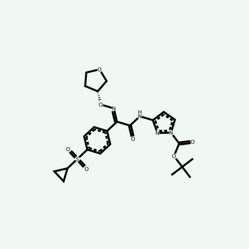 CC(C)(C)OC(=O)n1ccc(NC(=O)/C(=N/O[C@@H]2CCOC2)c2ccc(S(=O)(=O)C3CC3)cc2)n1